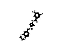 O=C(N[C@H]1C[C@@H](NCc2ccc3c(c2)OCCO3)C1)c1cc(F)cc(Cl)c1